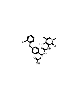 Cc1cn(C)c(=O)c(NC(=O)N[C@@H](CC(=O)O)c2ccc(Cc3ccccc3Cl)cc2)c1O